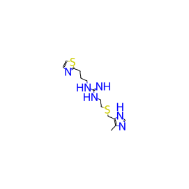 Cc1nc[nH]c1CSCCNC(=N)NCCCc1nccs1